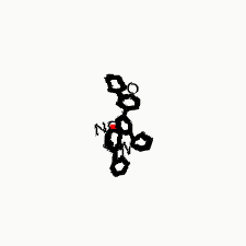 N#Cc1cc(-c2ccc3oc4ccccc4c3c2)cc(-c2ccccc2-n2c3ccccc3c3ccccc32)c1